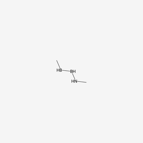 CBBNC